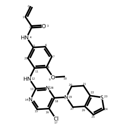 C=CC(=O)Nc1ccc(OC)c(Nc2ncc(Cl)c(N3CCc4sccc4C3)n2)c1